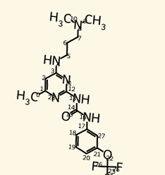 Cc1cc(NCCCN(C)C)nc(NC(=O)Nc2cccc(OC(F)(F)F)c2)n1